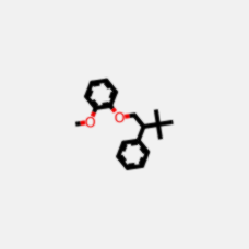 COc1ccccc1OCC(c1ccccc1)C(C)(C)C